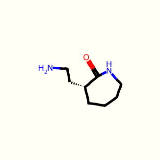 NCC[C@H]1CCCCNC1=O